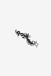 CN(C)C(=O)Cn1cc(-c2nc(C(C)(c3ccc(-c4ccc(F)nc4F)cc3)C3CC3)no2)cn1